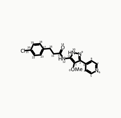 COc1c(-c2ccncc2)n[nH]c1NC(=O)CCc1ccc(Cl)cc1